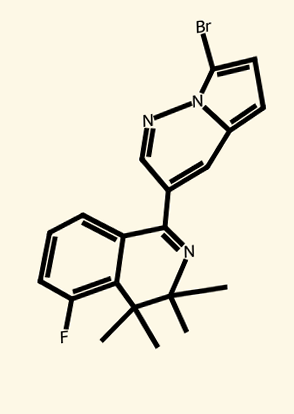 CC1(C)N=C(c2cnn3c(Br)ccc3c2)c2cccc(F)c2C1(C)C